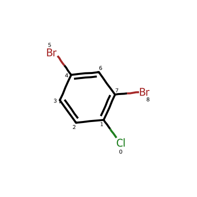 Clc1c[c]c(Br)cc1Br